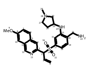 C=CC(c1cc2ccc(OC)cc2cn1)S(=O)(=O)c1ccc(CN)c(NC2CCN(C)C2)c1